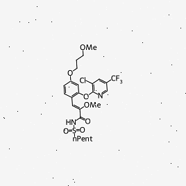 CCCCCS(=O)(=O)NC(=O)/C(=C/c1ccc(OCCCOC)cc1Oc1ncc(C(F)(F)F)cc1Cl)OC